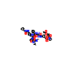 C=CC(=O)OCC(C)(C)C(=O)C(=O)N1CCCC[C@H]1C(=O)OCc1cccc(NC(=O)CCC(=O)N[C@H](C(=O)N[C@@H](Cc2ccc(CC(=O)NCc3ccccc3)cc2)C(=O)N(CCC)CC(=O)N(C)[C@@H](CC(C)C)C(=O)N(C)CC)c2ccccc2)c1